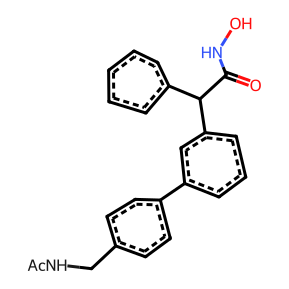 CC(=O)NCc1ccc(-c2cccc(C(C(=O)NO)c3ccccc3)c2)cc1